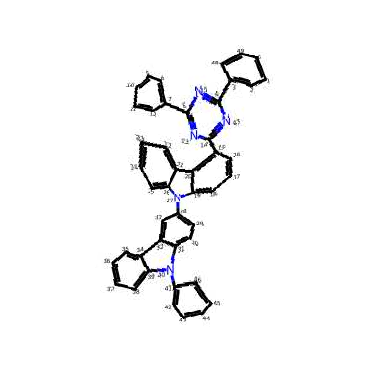 c1ccc(-c2nc(-c3ccccc3)nc(-c3cccc4c3c3ccccc3n4-c3ccc4c(c3)c3ccccc3n4-c3ccccc3)n2)cc1